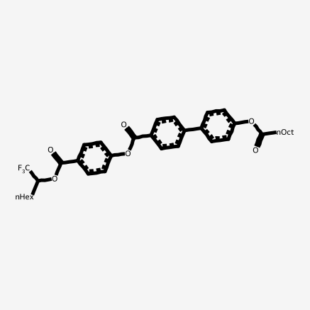 CCCCCCCCC(=O)Oc1ccc(-c2ccc(C(=O)Oc3ccc(C(=O)OC(CCCCCC)C(F)(F)F)cc3)cc2)cc1